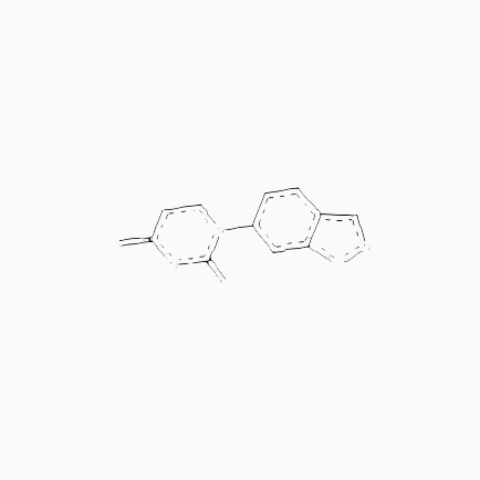 O=c1ccn(-c2ccc3cnoc3c2)c(=O)[nH]1